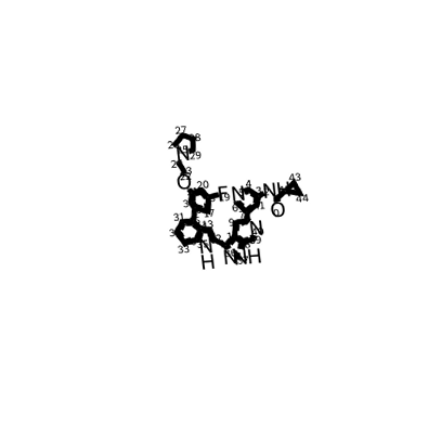 O=C(Nc1cncc(-c2cc3c(-c4cc5c(-c6cc(F)cc(OCCN7CCCC7)c6)cccc5[nH]4)n[nH]c3cn2)c1)C1CC1